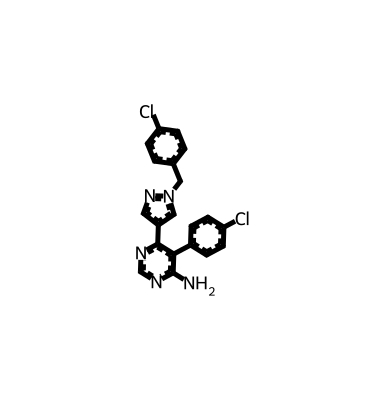 Nc1ncnc(-c2cnn(Cc3ccc(Cl)cc3)c2)c1-c1ccc(Cl)cc1